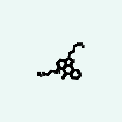 NCCCn1nc2c3c(c(NCCN)ccc31)C(=O)c1ccncc1-2